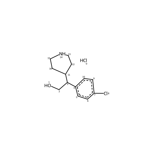 Cl.OCC(c1ccc(Cl)cc1)C1CCNCC1